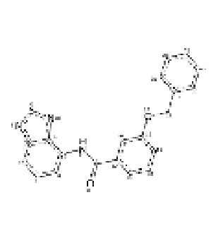 O=C(Nc1cccc2nsnc12)c1cccc(OCc2ccccc2)c1